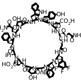 CCCC[C@H]1C(=O)N2C[C@H](O)C[C@@H]2C(=O)N[C@@H](CC(=O)O)C(=O)N[C@@H](C(C)C)C(=O)N(C)[C@@H](Cc2ccccc2)C(=O)N[C@@H](CCC(N)=O)C(=O)N2C[C@H](O)C[C@H]2C(=O)N[C@@H](Cc2c[nH]c3ccccc23)C(=O)N[C@@H](Cc2ccc(O)cc2)C(=O)N[C@@H](CCC(=O)O)C(=O)N[C@H](C(=O)NCC(N)=O)CSCC(=O)N[C@@H](Cc2cc(F)c(F)c(F)c2)C(=O)N(C)[C@@H](Cc2ccccc2)C(=O)N1C